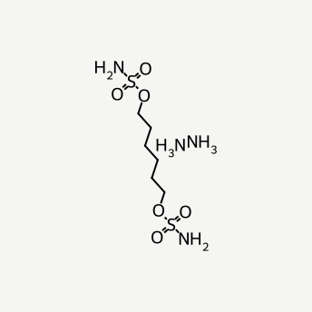 N.N.NS(=O)(=O)OCCCCCCOS(N)(=O)=O